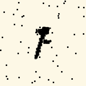 CCCCCCCCCCCCCCCC(=O)C(C)(CO)S(=O)(=O)[O-].[Na+]